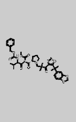 COC(=O)N(C(=O)C(NC(=O)OCc1ccccc1)C(C)C)C(=O)[C@@H]1CCCN1CC(C)(C)C(=O)c1nnoc1C(C)(C)c1ccc2c(c1)OCO2